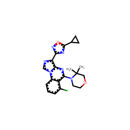 CC1(C)COCCN1c1nc2c(-c3noc(C4CC4)n3)ncn2c2cccc(F)c12